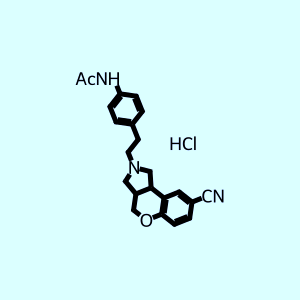 CC(=O)Nc1ccc(CCN2CC3COc4ccc(C#N)cc4C3C2)cc1.Cl